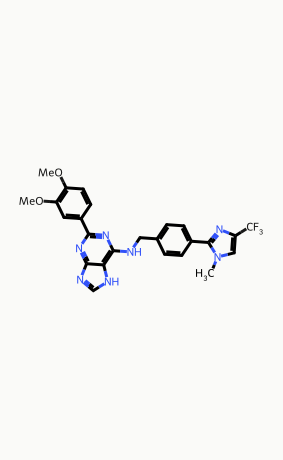 COc1ccc(-c2nc(NCc3ccc(-c4nc(C(F)(F)F)cn4C)cc3)c3[nH]cnc3n2)cc1OC